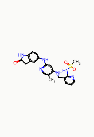 CS(=O)(=O)Nc1ncccc1CNc1cc(Nc2ccc3c(c2)CC(=O)N3)ncc1C(F)(F)F